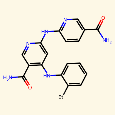 CCc1ccccc1Nc1cc(Nc2ccc(C(N)=O)cn2)ncc1C(N)=O